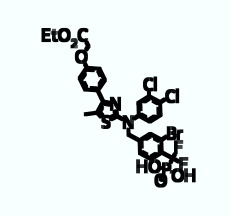 CCOC(=O)COc1ccc(-c2nc(N(Cc3ccc(C(F)(F)P(=O)(O)O)c(Br)c3)c3ccc(Cl)c(Cl)c3)sc2C)cc1